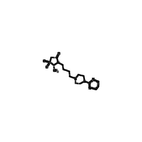 CC1N(CCCCN2CCN(c3ncccn3)CC2)C(=O)CS1(=O)=O